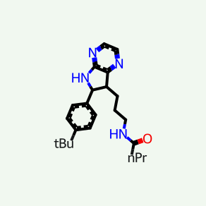 CCCC(=O)NCCCC1c2nccnc2NC1c1ccc(C(C)(C)C)cc1